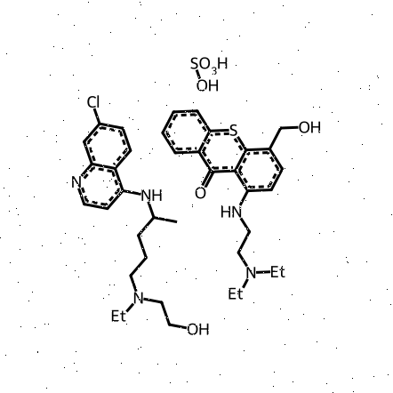 CCN(CC)CCNc1ccc(CO)c2sc3ccccc3c(=O)c12.CCN(CCO)CCCC(C)Nc1ccnc2cc(Cl)ccc12.O=S(=O)(O)O